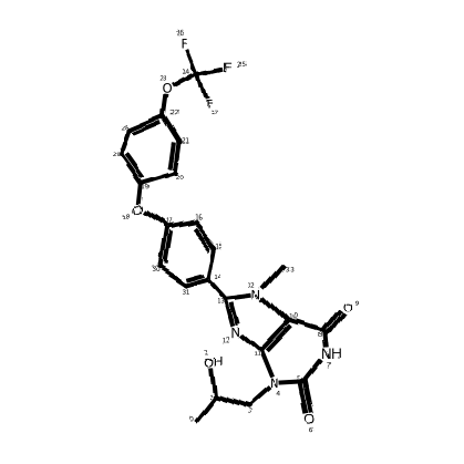 CC(O)Cn1c(=O)[nH]c(=O)c2c1nc(-c1ccc(Oc3ccc(OC(F)(F)F)cc3)cc1)n2C